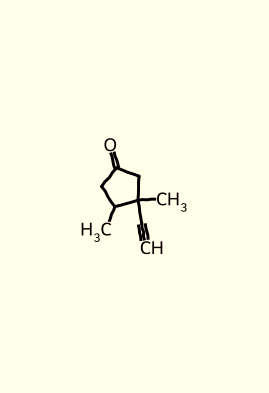 C#CC1(C)CC(=O)CC1C